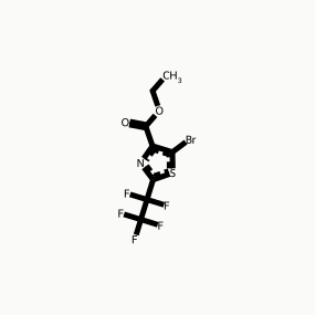 CCOC(=O)c1nc(C(F)(F)C(F)(F)F)sc1Br